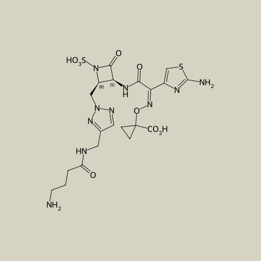 NCCCC(=O)NCc1cnn(C[C@@H]2[C@H](NC(=O)C(=NOC3(C(=O)O)CC3)c3csc(N)n3)C(=O)N2S(=O)(=O)O)n1